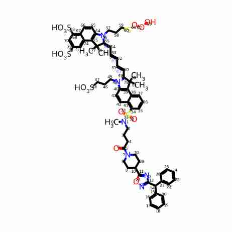 CN(CCCC(=O)N1CCC(c2nc(C(c3ccccc3)c3ccccc3)no2)CC1)S(=O)(=O)c1cccc2c3c(ccc12)[N+](CCCS(=O)(=O)O)=C(/C=C/C=C/C=C1/N(CCCSOOO)c2ccc4c(S(=O)(=O)O)cc(S(=O)(=O)O)cc4c2C1(C)C)C3(C)C